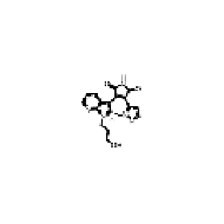 Cn1nccc1C1=C(c2cn(CCCO)c3ncccc23)C(=O)NC1=O